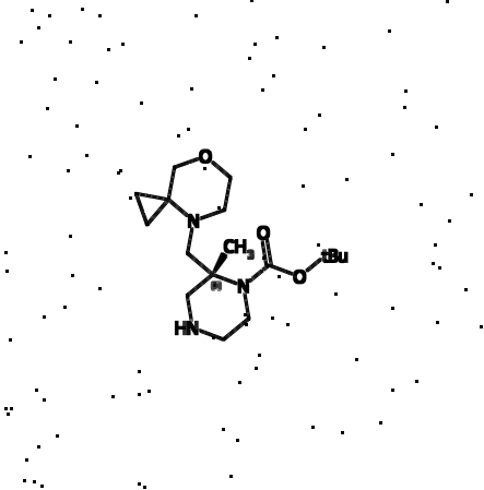 CC(C)(C)OC(=O)N1CCNC[C@]1(C)CN1CCOCC12CC2